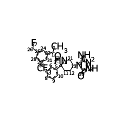 C[C@@H](OC[C@@]1(c2ccccc2)CC[C@@H](n2c(N)n[nH]c2=O)CN1)c1cc(CF)cc(C(F)(F)F)c1